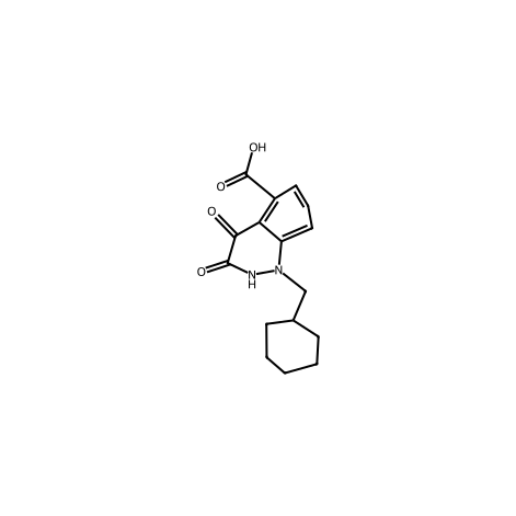 O=C(O)c1cccc2c1c(=O)c(=O)[nH]n2CC1CCCCC1